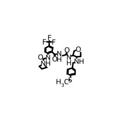 CSc1ccc(CNC2CCOCC2NC(=O)CNC(=O)c2cc(C(F)(F)F)ccc2NC(=O)N2CCC2)cc1